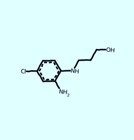 Nc1cc(Cl)ccc1NCCCO